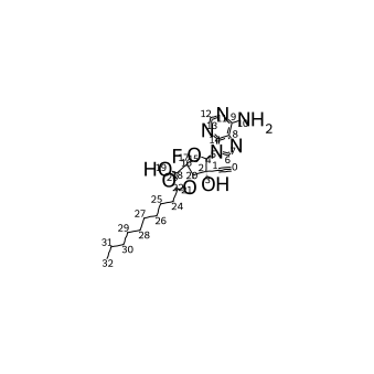 C#C[C@]1(O)[C@H](n2cnc3c(N)ncnc32)O[C@](F)(CO)[C@H]1OC(=O)CCCCCCCCC